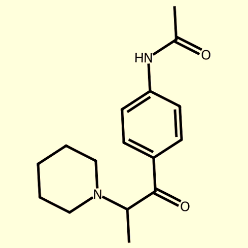 CC(=O)Nc1ccc(C(=O)C(C)N2CCCCC2)cc1